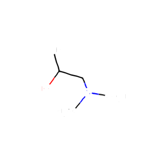 CC(O)CN([AsH2])C(=O)O